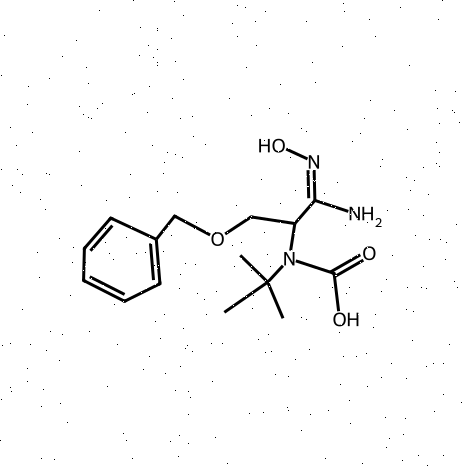 CC(C)(C)N(C(=O)O)C(COCc1ccccc1)/C(N)=N\O